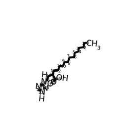 CCCCCCCCCCCCC=CC(CC(=O)Nc1nc[nH]n1)C(=O)O